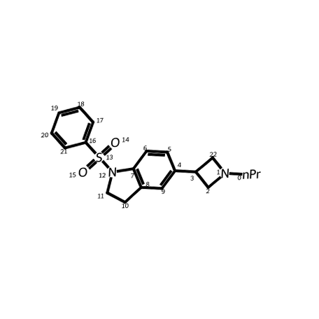 CCCN1CC(c2ccc3c(c2)CCN3S(=O)(=O)c2ccccc2)C1